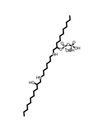 CCCCCCCCCC(O)CNCCCCCCNCC(CCCCCCCCC)OP(=O)(O)OP(=O)(O)O